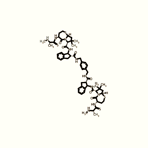 CN[C@@H](C)C(=S)N[C@H]1CCS[C@H]2CC(C)(C)[C@@H](C(=O)NC3c4ccccc4C[C@H]3C(=O)NCc3ccc(CNC(=O)[C@@H]4Cc5ccccc5C4NC(=O)[C@H]4N5C(=O)[C@@H](NC(=S)[C@H](C)NC)CCS[C@H]5CC4(C)C)cc3)N2C1=O